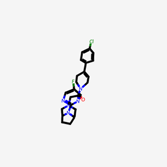 O=C(CN1CC2CCC(C1)N2c1ncc(F)cn1)N1CC=C(c2ccc(Cl)cc2)CC1